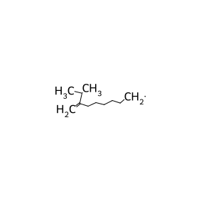 [CH2]CCCCCC(=C)C(C)C